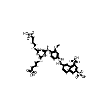 COc1cc(NNc2ccc3cc(S(=O)(=O)O)cc(S(=O)(=O)O)c3c2)ccc1NC1=NC(SCCCS(=O)(=O)O)NC(SCCCS(=O)(=O)O)N1